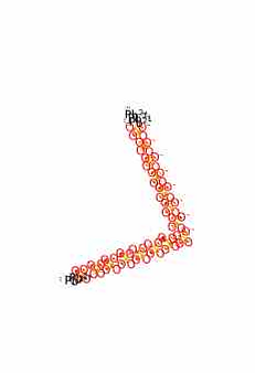 O=S(=O)([O-])[O-].O=S(=O)([O-])[O-].O=S(=O)([O-])[O-].O=S(=O)([O-])[O-].O=S(=O)([O-])[O-].O=S(=O)([O-])[O-].O=S(=O)([O-])[O-].O=S(=O)([O-])[O-].O=S(=O)([O-])[O-].O=S(=O)([O-])[O-].O=S(=O)([O-])[O-].O=S(=O)([O-])[O-].O=S(=O)([O-])[O-].O=S(=O)([O-])[O-].O=S(=O)([O-])[O-].[Pb+2].[Pb+2].[Pb+2].[Pb+2].[Pb+2]